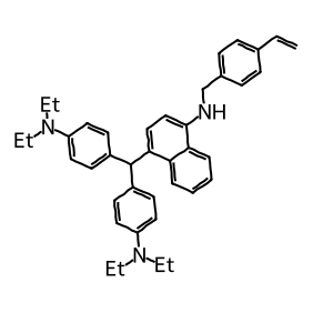 C=Cc1ccc(CNc2ccc(C(c3ccc(N(CC)CC)cc3)c3ccc(N(CC)CC)cc3)c3ccccc23)cc1